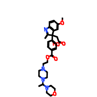 COc1ccc2c(c1)C(CC(=O)O)(c1ccc(C(=O)OCCN3CCN(C(C)N4CCOCC4)CC3)cc1)C(C)=N2